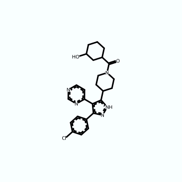 O=C(C1CCCC(O)C1)N1CCC(c2[nH]nc(-c3ccc(Cl)cc3)c2-c2ccncn2)CC1